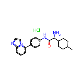 CC1CCC([C@H](N)C(=O)Nc2ccc(-c3cccc4nccn34)cc2)CC1.Cl